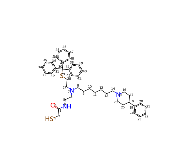 O=C(CS)NCCN(CCCCCCCN1CCC(c2ccccc2)CC1)CCSC(c1ccccc1)(c1ccccc1)c1ccccc1